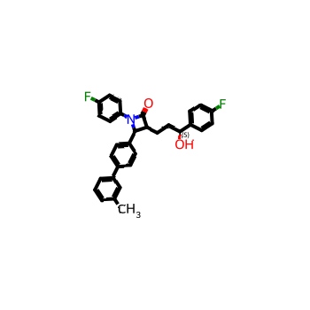 Cc1cccc(-c2ccc(C3C(CC[C@H](O)c4ccc(F)cc4)C(=O)N3c3ccc(F)cc3)cc2)c1